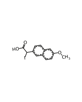 COc1ccc2cc(C(I)C(=O)O)ccc2c1